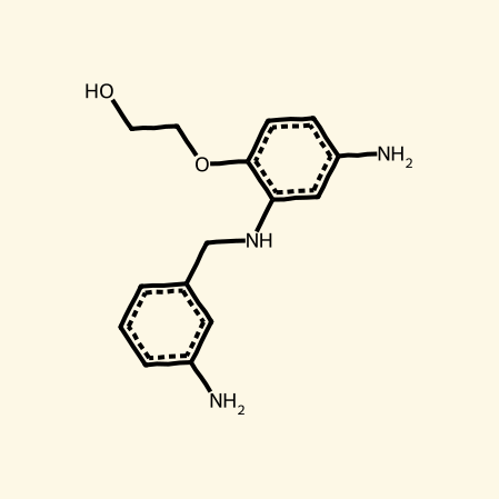 Nc1cccc(CNc2cc(N)ccc2OCCO)c1